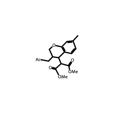 COC(=O)C(C(=O)OC)C1c2ccc(C)cc2OCC1CC(C)=O